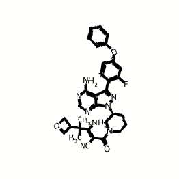 CC(C)(C(N)=C(C#N)C(=O)N1CCC[C@H](n2nc(-c3ccc(Oc4ccccc4)cc3F)c3c(N)ncnc32)C1)C1COC1